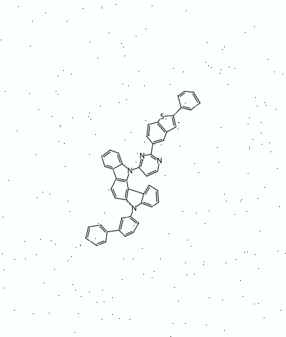 c1ccc(-c2cccc(-n3c4ccccc4c4c3ccc3c5ccccc5n(-c5ccnc(-c6ccc7sc(-c8ccccc8)cc7c6)n5)c34)c2)cc1